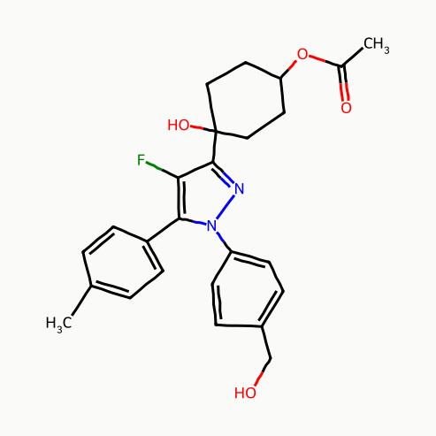 CC(=O)OC1CCC(O)(c2nn(-c3ccc(CO)cc3)c(-c3ccc(C)cc3)c2F)CC1